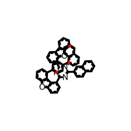 C=N/C(=N\C(=N/Cc1cccc2c1oc1ccccc12)c1cccc2oc3cccc(-c4ccc(-c5cccc6ccccc56)cc4)c3c12)c1ccc2ccccc2c1